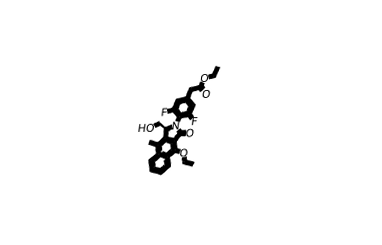 CCOC(=O)Cc1cc(F)c(N2C(=O)c3c(c(C)c4ccccc4c3OCC)[C@H]2CO)c(F)c1